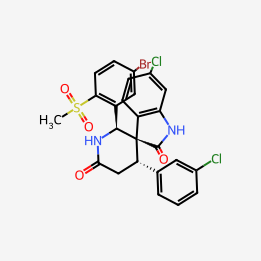 CS(=O)(=O)c1ccc(Br)cc1[C@@H]1NC(=O)C[C@@H](c2cccc(Cl)c2)[C@]12C(=O)Nc1cc(Cl)ccc12